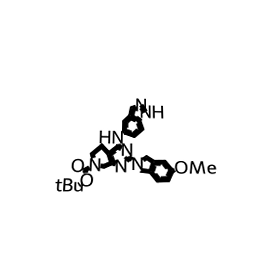 COc1ccc2c(c1)CN(c1nc3c(c(Nc4ccc5[nH]ncc5c4)n1)CCN(C(=O)OC(C)(C)C)C3)C2